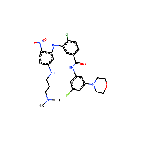 CN(C)CCCNc1ccc([N+](=O)[O-])c(Nc2cc(C(=O)Nc3cc(F)cc(N4CCOCC4)c3)ccc2Cl)c1